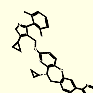 C=C(N=O)c1ccc2c(c1)Oc1ccc(OCC3=C(C4CC4)CN=C3c3c(C)cccc3C)nc1[C@@H](C1CC1)C2